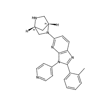 Cc1ccccc1-c1nc2ccc(N3C[C@H]4C[C@@H]3CN4)nc2n1-c1ccncc1